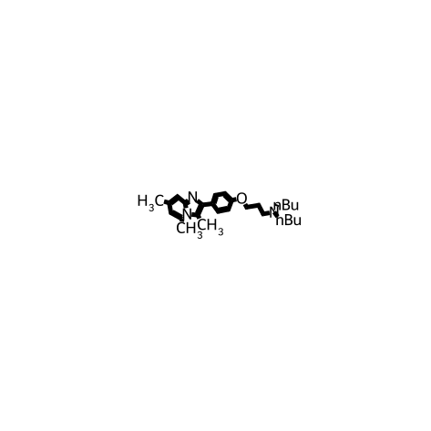 CCCCN(CCCC)CCCOc1ccc(-c2nc3cc(C)cc(C)n3c2C)cc1